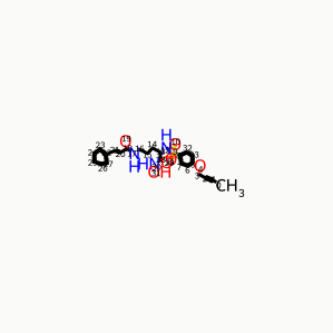 CC#CCOc1ccc(S(=O)(=O)NC(CCCNC(=O)/C=C/c2ccccc2)C(=O)NO)cc1